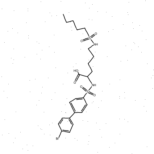 CCCCCS(=O)(=O)NCCCCC(NS(=O)(=O)c1ccc(-c2ccc(Br)cc2)cc1)C(=O)O